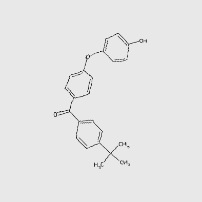 CC(C)(C)c1ccc(C(=O)c2ccc(Oc3ccc(O)cc3)cc2)cc1